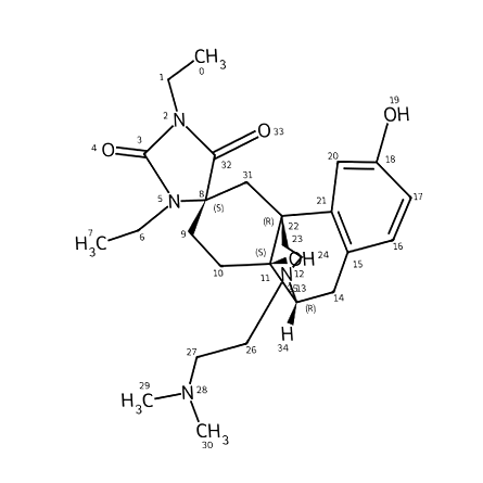 CCN1C(=O)N(CC)[C@]2(CC[C@@]3(O)[C@H]4Cc5ccc(O)cc5[C@@]3(CCN4CCN(C)C)C2)C1=O